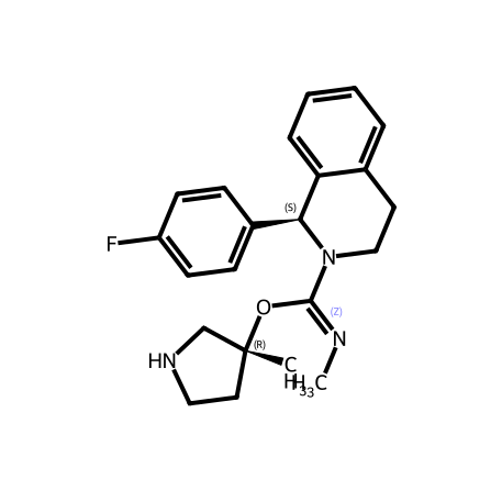 C/N=C(\O[C@]1(C)CCNC1)N1CCc2ccccc2[C@@H]1c1ccc(F)cc1